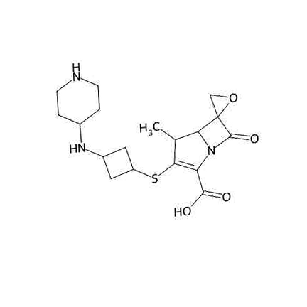 CC1C(SC2CC(NC3CCNCC3)C2)=C(C(=O)O)N2C(=O)C3(CO3)C12